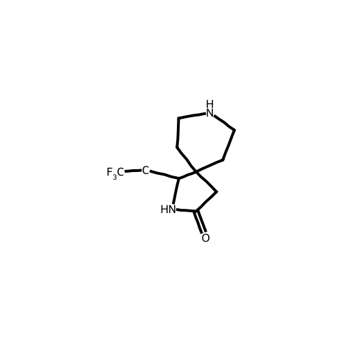 O=C1CC2(CCNCC2)C(CC(F)(F)F)N1